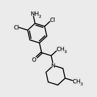 CC1CCCN(C(C)C(=O)c2cc(Cl)c(N)c(Cl)c2)C1